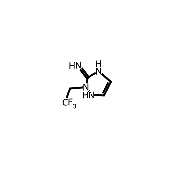 N=C1NC=CNN1CC(F)(F)F